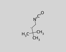 CC(C)(C)[CH]CN=C=O